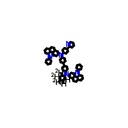 [2H]c1c([2H])c([2H])c(N(c2ccc(-c3ccc(N(c4ccc(-c5ccccn5)cc4)c4cc5ccc6cccc7c6c5c(c4)n7-c4ccccc4)cc3)cc2)c2cc3ccc4cccc5c4c3c(c2)n5-c2ccccc2)c([2H])c1[2H]